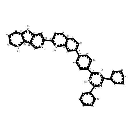 c1ccc(-c2nc(-c3ccccc3)nc(-c3ccc(-c4ccc5ccc(-c6cc7sc8cccnc8c7cn6)nc5c4)cc3)n2)cc1